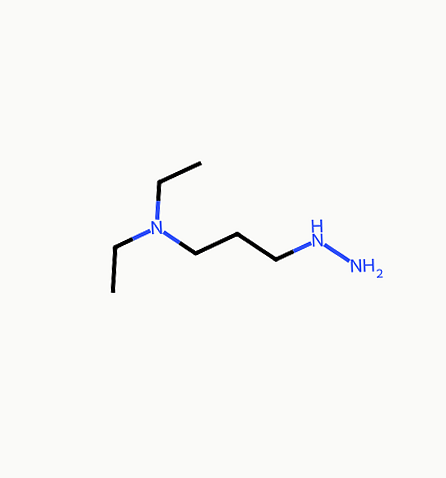 CCN(CC)CCCNN